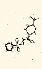 CC(C)C1CCC(C(=O)COS(=O)(=O)c2cccs2)CC1